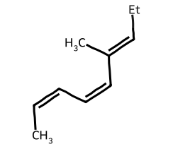 C\C=C/C=C\C(C)=C\CC